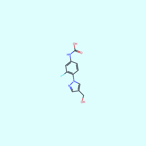 O=C(O)Nc1ccc(-n2cc(CO)cn2)c(F)c1